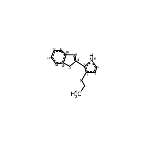 CCCc1cc[nH]c1C1=Cc2ccccc2[CH]1